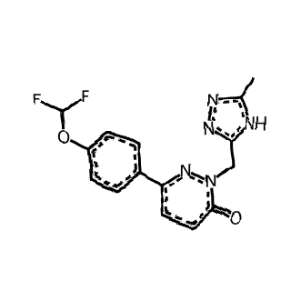 Cc1nnc(Cn2nc(-c3ccc(OC(F)F)cc3)ccc2=O)[nH]1